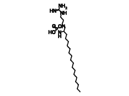 CCCCCCCCCCCCCCCCCC(CCCCNC(=N)N)NP(=O)(O)O